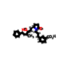 C[C@@H](CCc1ccccc1)[C@H](O)CC[C@H]1CCC(=O)N1CCCc1cccc(C(=O)O)c1